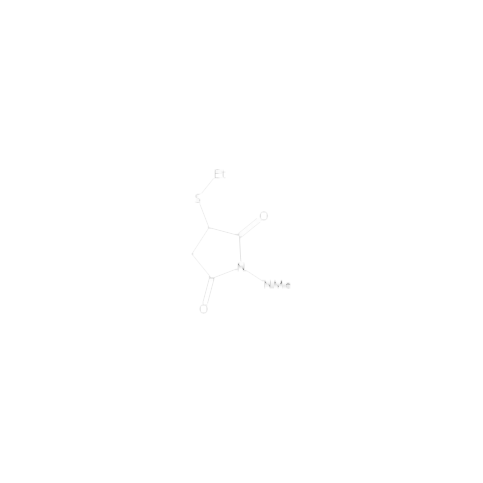 CCSC1CC(=O)N(NC)C1=O